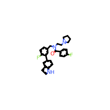 O=C(c1ccc(F)cc1)N(CCN1CCCC1)Cc1ccc(F)c(-c2ccc3[nH]ccc3c2)c1